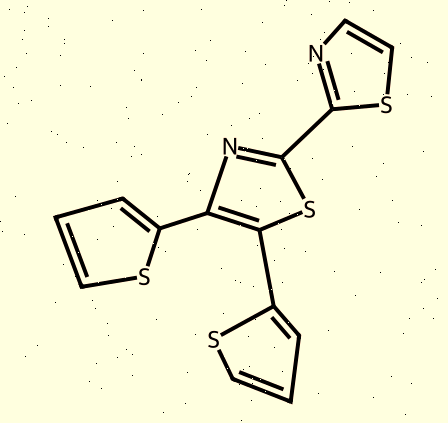 c1csc(-c2nc(-c3nccs3)sc2-c2cccs2)c1